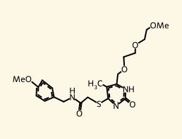 COCCOCCOCc1[nH]c(=O)nc(SCC(=O)NCc2ccc(OC)cc2)c1C